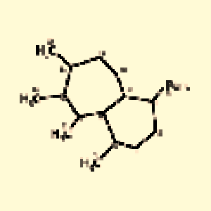 CCCC(C)C1CCC(C)C2C(C)C(C)C(C)CCC12